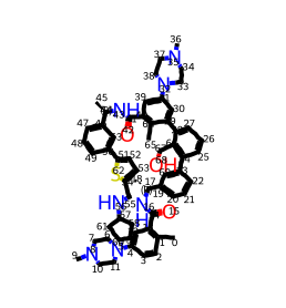 Cc1ccc(N2CCN(C)CC2)cc1C(=O)N[C@H](C)c1cccc(-c2cccc(-c3cc(N4CCN(C)CC4)cc(C(=O)N[C@H](C)c4cccc(-c5ccc(CNC6CCCC6)s5)c4)c3C)c2CO)c1